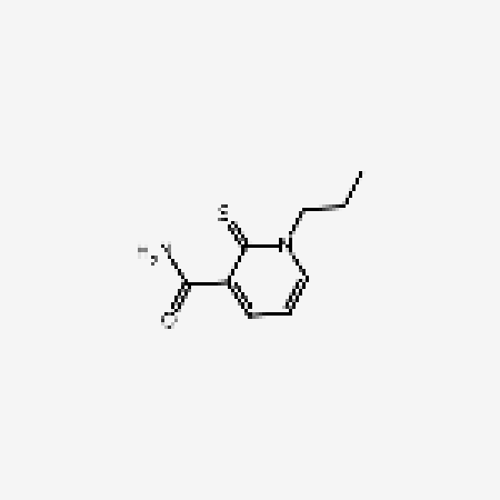 CCCn1cccc(C(N)=O)c1=S